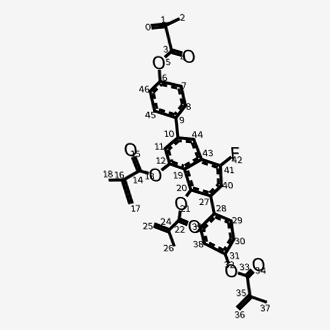 C=C(C)C(=O)Oc1ccc(-c2cc(OC(=O)C(=C)C)c3c(OC(=O)C(=C)C)c(-c4ccc(OC(=O)C(=C)C)cc4)cc(F)c3c2)cc1